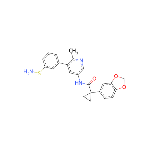 Cc1ncc(NC(=O)C2(c3ccc4c(c3)OCO4)CC2)cc1-c1cccc(SN)c1